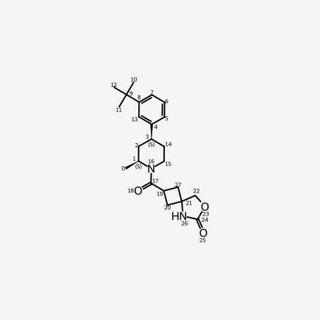 C[C@H]1C[C@@H](c2cccc(C(C)(C)C)c2)CCN1C(=O)C1CC2(COC(=O)N2)C1